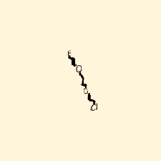 FCC=COCC[CH]COC=CCCl